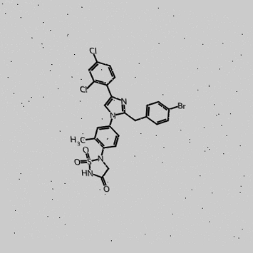 Cc1cc(-n2cc(-c3ccc(Cl)cc3Cl)nc2Cc2ccc(Br)cc2)ccc1N1CC(=O)NS1(=O)=O